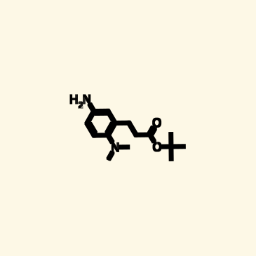 CN(C)c1ccc(N)cc1CCC(=O)OC(C)(C)C